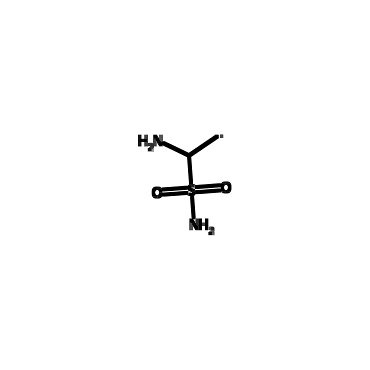 [CH2]C(N)S(N)(=O)=O